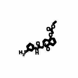 CCOC(=O)COc1cccc2c(=O)n(CC(=O)Nc3cccc(P)c3)ccc12